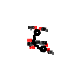 COc1ccc(CCC(O)C(C)(C)C(O)CCc2ccc(OC)c(OC)c2)cc1OC